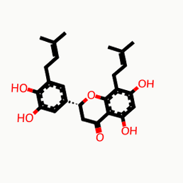 CC(C)=CCc1cc([C@H]2CC(=O)c3c(O)cc(O)c(CC=C(C)C)c3O2)cc(O)c1O